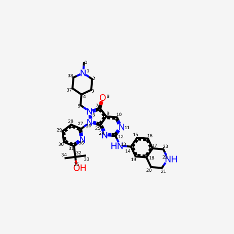 CN1CCC(Cn2c(=O)c3cnc(Nc4ccc5c(c4)CCNC5)nc3n2-c2cccc(C(C)(C)O)n2)CC1